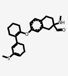 CNC1(C=O)CCc2ccc(OC3=C(C4=CC(SC)=CCC4)CCCC3)cc2C1